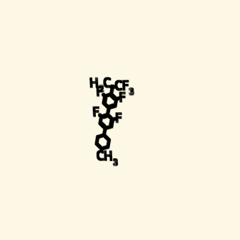 C=C(c1c(F)cc(-c2c(F)cc(C3CCC(C)CC3)cc2F)cc1F)C(F)(F)F